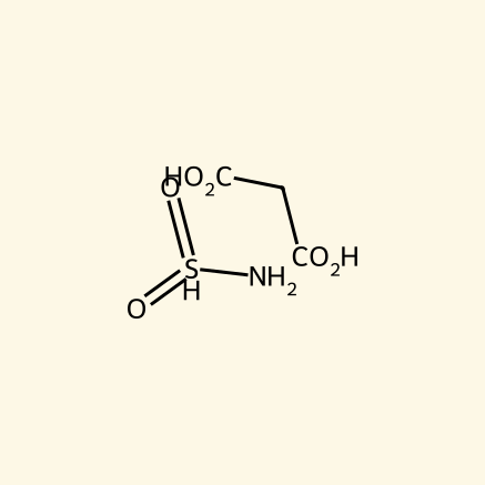 N[SH](=O)=O.O=C(O)CC(=O)O